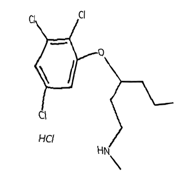 CCCC(CCNC)Oc1cc(Cl)cc(Cl)c1Cl.Cl